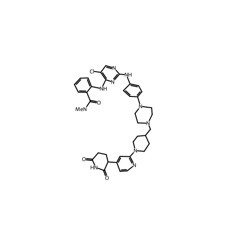 CNC(=O)c1ccccc1Nc1nc(Nc2ccc(N3CCN(CC4CCN(c5cc(C6CCC(=O)NC6=O)ccn5)CC4)CC3)cc2)ncc1Cl